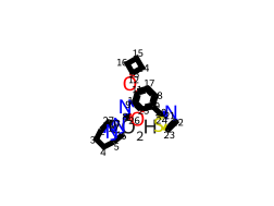 O=C(O)N1C2CCC1CN(c1nc3c(OC4CCC4)ccc(-c4nccs4)c3o1)C2